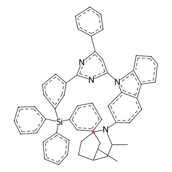 CC1CC2CCC1CC(C)N2c1ccc2c3ccccc3n(-c3cc(-c4ccccc4)nc(-c4cccc([Si](c5ccccc5)(c5ccccc5)c5ccccc5)c4)n3)c2c1